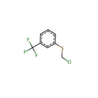 FC(F)(F)c1cccc(SCCl)c1